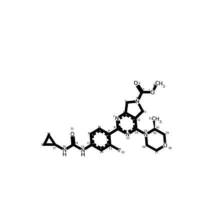 COC(=O)N1Cc2nc(-c3ccc(NC(=O)NC4CC4)cc3F)nc(N3CCOC[C@@H]3C)c2C1